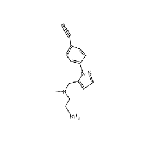 CN(CCN)Cc1ccnn1-c1ccc(C#N)cc1